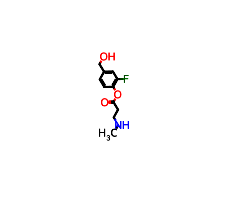 CNCCC(=O)Oc1ccc(CO)cc1F